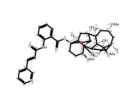 CCN1C[C@]2(OC(=O)c3ccccc3NC(=O)/C=C/c3cccnc3)CC[C@H](OC)[C@]34C1[C@@H](C[C@H]23)[C@@]1(O)C[C@H](OC)C[C@H]2C[C@@H]4[C@]1(O)[C@H]2OC